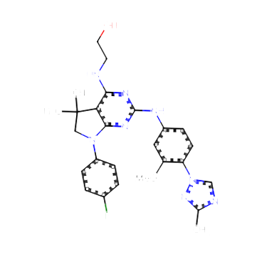 COc1cc(Nc2nc(NCCO)c3c(n2)N(c2ccc(F)cc2)CC3(C)C)ccc1-n1cnc(C)n1